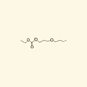 CCCCOCCCOC(=O)OCC